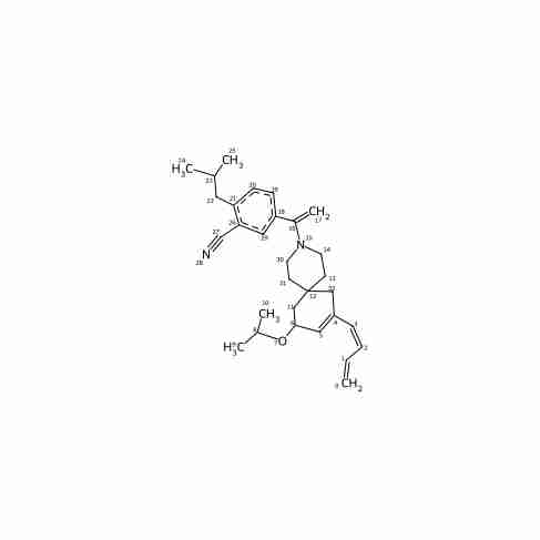 C=C/C=C\C1=CC(OC(C)C)CC2(CCN(C(=C)c3ccc(CC(C)C)c(C#N)c3)CC2)C1